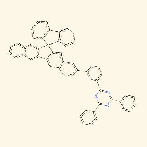 c1ccc(-c2nc(-c3ccccc3)nc(-c3cccc(-c4ccc5cc6c(cc5c4)C4(c5ccccc5-c5ccccc54)c4cc5ccccc5cc4-6)c3)n2)cc1